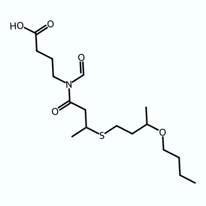 CCCCOC(C)CCSC(C)CC(=O)N(C=O)CCCC(=O)O